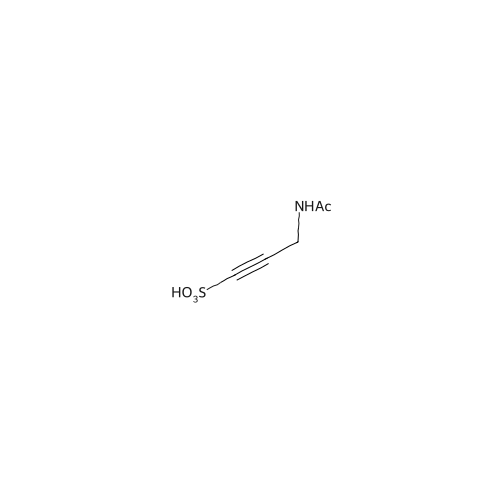 CC(=O)NCC#CS(=O)(=O)O